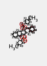 Cc1ccc(S(=O)(=O)Oc2c3c(c(OS(=O)(=O)c4ccc(C)cc4)c4cc5ccccc5cc24)C2c4ccccc4C3c3ccccc32)cc1